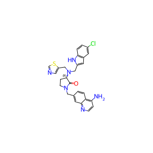 Nc1ccnc2cc(CN3CC[C@@H](N(Cc4cc5cc(Cl)ccc5[nH]4)Cc4cncs4)C3=O)ccc12